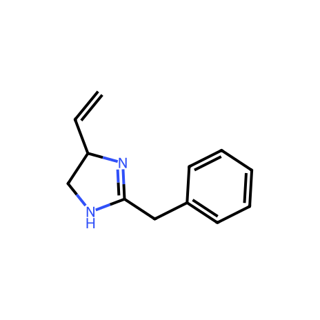 C=CC1CNC(Cc2ccccc2)=N1